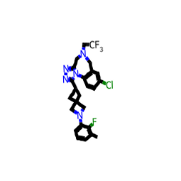 Cc1cccc(N2CC3(CC(c4nnc5n4-c4ccc(Cl)cc4CN(CC(F)(F)F)C5)C3)C2)c1F